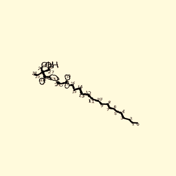 CCCCCCCCCCCCCCCCCOC(=O)COC(=O)C(CC)(CO)CO